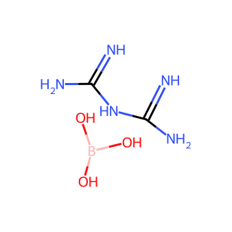 N=C(N)NC(=N)N.OB(O)O